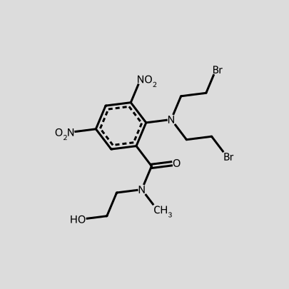 CN(CCO)C(=O)c1cc([N+](=O)[O-])cc([N+](=O)[O-])c1N(CCBr)CCBr